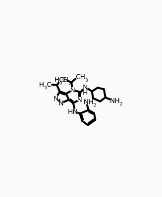 CC(C)c1nnc2c(Nc3ccccc3N)nc(NC3CCC(N)CC3)n(C(C)C)c1-2